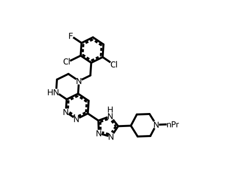 CCCN1CCC(c2nnc(-c3cc4c(nn3)NCCN4Cc3c(Cl)ccc(F)c3Cl)[nH]2)CC1